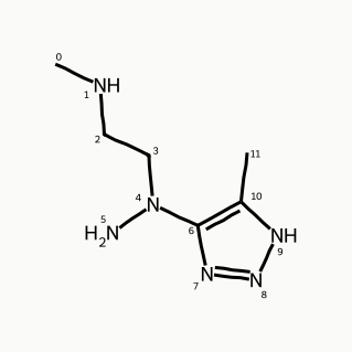 CNCCN(N)c1nn[nH]c1C